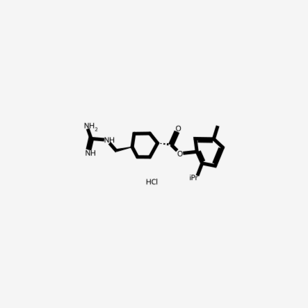 Cc1ccc(C(C)C)c(OC(=O)[C@H]2CC[C@H](CNC(=N)N)CC2)c1.Cl